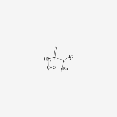 C=C(BC=O)C(CC)CCCC